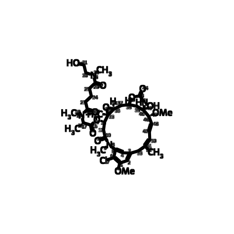 COc1cc2cc(c1Cl)N(C)C(=O)C[C@H](OC(=O)[C@H](C)N(C)C(=O)CCCC(=O)N(C)CCO)[C@]1(C)O[C@H]1C[C@@H]1C[C@@](O)(NC(=O)O1)[C@H](OC)/C=C/C=C(/C)C2